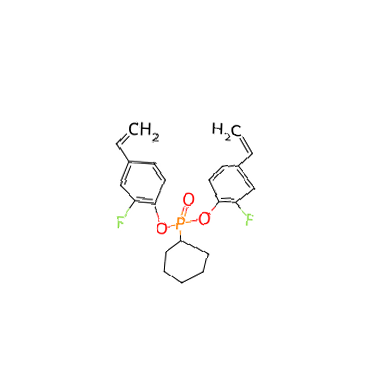 C=Cc1ccc(OP(=O)(Oc2ccc(C=C)cc2F)C2CCCCC2)c(F)c1